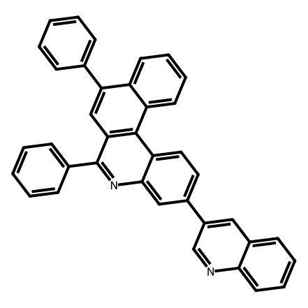 c1ccc(-c2cc3c(-c4ccccc4)nc4cc(-c5cnc6ccccc6c5)ccc4c3c3ccccc23)cc1